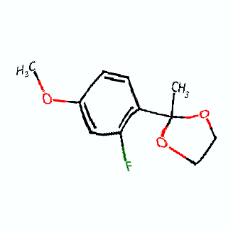 COc1ccc(C2(C)OCCO2)c(F)c1